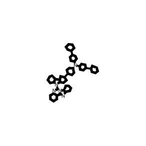 c1ccc(-c2ccc(N(c3ccc(-c4ccccc4)cc3)c3ccc(-c4ccc5c(c4)c4ccccc4n5-c4nc5ccccc5c5nc6ccccc6n45)cc3)cc2)cc1